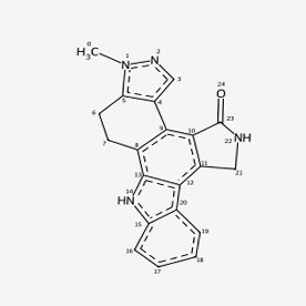 Cn1ncc2c1CCc1c-2c2c(c3c1[nH]c1ccccc13)CNC2=O